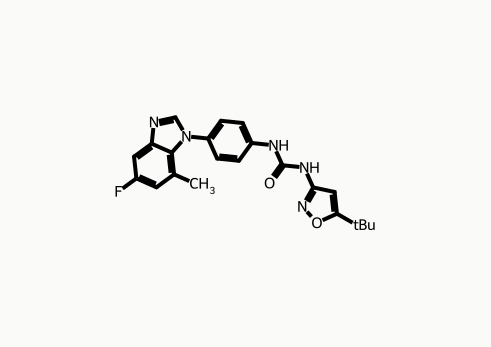 Cc1cc(F)cc2ncn(-c3ccc(NC(=O)Nc4cc(C(C)(C)C)on4)cc3)c12